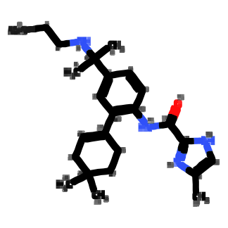 CSCCNC(C)(C)c1ccc(NC(=O)c2nc(C)c[nH]2)c(C2=CCC(C)(C)CC2)c1